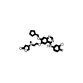 CN(CCOc1cc2c(Nc3ccc(F)c(Cl)c3)ncnc2cc1OCC1CCCC1)C1COC(=O)C1